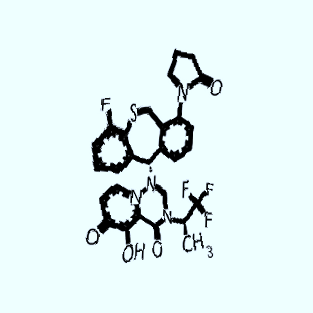 C[C@@H](N1CN([C@H]2c3cccc(N4CCCC4=O)c3CSc3c(F)cccc32)n2ccc(=O)c(O)c2C1=O)C(F)(F)F